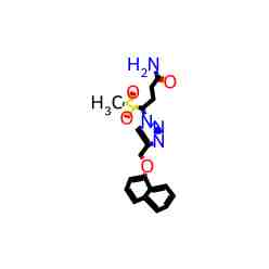 CS(=O)(=O)C(CCC(N)=O)n1cc(COc2cccc3ccccc23)nn1